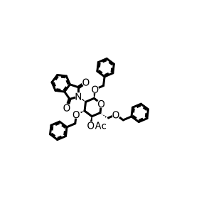 CC(=O)O[C@H]1[C@H](OCc2ccccc2)[C@H](N2C(=O)c3ccccc3C2=O)[C@@H](OCc2ccccc2)O[C@@H]1COCc1ccccc1